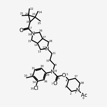 CC(=O)N1CCC(OC(=O)N(CCCN2CC3CN(C(=O)C4C(C)(C)C4(C)C)CC3C2)c2ccc(C)c(Cl)c2)CC1